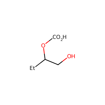 CCC(CO)OC(=O)O